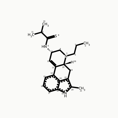 CCCN1C[C@@H](NC(=S)C(C)C)C=C2c3cccc4[nH]c(C)c(c34)C[C@H]21